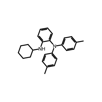 Cc1ccc(N(c2ccc(C)cc2)c2ccccc2NC2CCCCC2)cc1